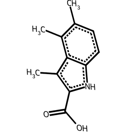 Cc1ccc2[nH]c(C(=O)O)c(C)c2c1C